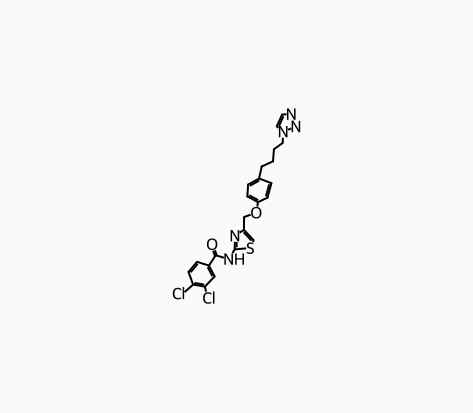 O=C(Nc1nc(COc2ccc(CCCCn3ccnn3)cc2)cs1)c1ccc(Cl)c(Cl)c1